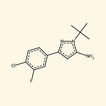 CC(C)(C)n1nc(-c2ccc(Cl)c(F)c2)cc1N